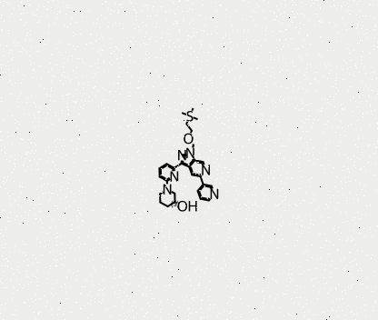 CS(C)(C)CCOCn1nc(-c2cccc(N3CCC[C@H](O)C3)n2)c2cc(-c3cccnc3)ncc21